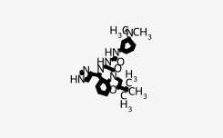 CN(C)c1cccc(NC(=O)N[C@@H]2N=C(c3c[nH]cn3)c3ccccc3N(CC(=O)C(C)(C)C)C2=O)c1